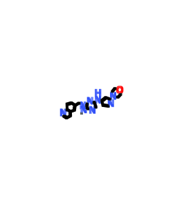 Cn1c2ncc(Nc3ccnc(N4CCOCC4)c3)nc2n1Cc1ccc2ncccc2c1